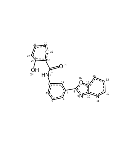 O=C(Nc1cccc(-c2nc3ncccc3o2)c1)c1ccccc1O